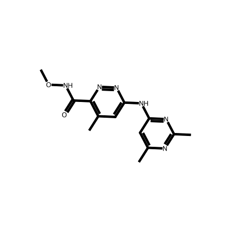 CONC(=O)c1nnc(Nc2cc(C)nc(C)n2)cc1C